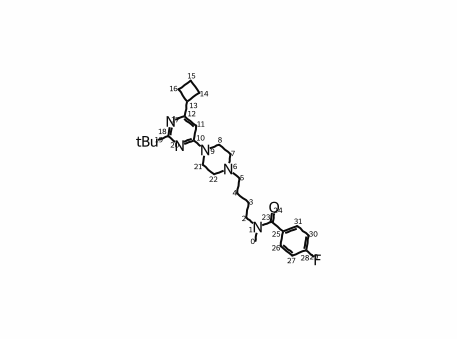 CN(CCCCN1CCN(c2cc(C3CCC3)nc(C(C)(C)C)n2)CC1)C(=O)c1ccc(F)cc1